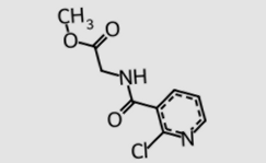 COC(=O)CNC(=O)c1cccnc1Cl